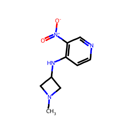 CN1CC(Nc2ccncc2[N+](=O)[O-])C1